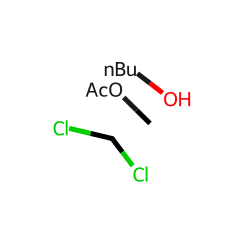 CCCCO.COC(C)=O.ClCCl